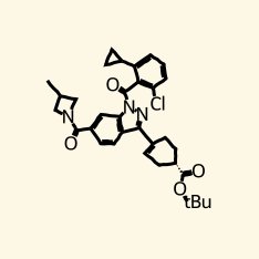 CC1CN(C(=O)c2ccc3c(C4=CC[C@@H](C(=O)OC(C)(C)C)CC4)nn(C(=O)c4c(Cl)cccc4C4CC4)c3c2)C1